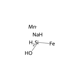 O[SiH2][Fe].[Mn].[NaH]